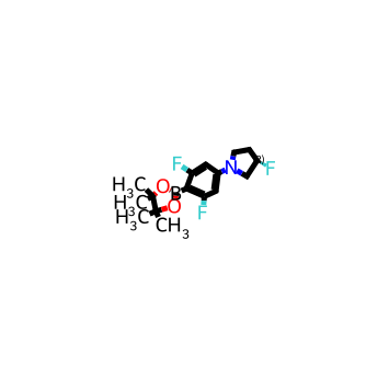 CC1(C)OB(c2c(F)cc(N3CC[C@@H](F)C3)cc2F)OC1(C)C